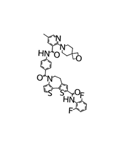 Cc1cnc(N2CCC3(CC2)COC3)c(C(=O)Nc2ccc(C(=O)N3CCc4cc(C(=O)Nc5c(F)cccc5F)sc4-c4sccc43)cc2)c1